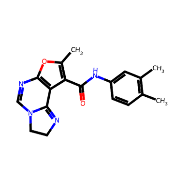 Cc1ccc(NC(=O)c2c(C)oc3c2C2=NCCN2C=N3)cc1C